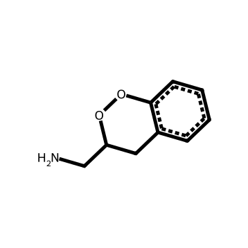 NCC1Cc2ccccc2OO1